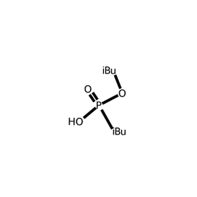 CCC(C)OP(=O)(O)C(C)CC